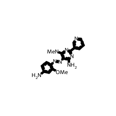 CNc1nc(-c2cccnc2)nc(N)c1/N=N/c1ccc(N)cc1OC